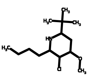 CCCCC1NC(C(C)(C)C)CC(OC)C1Cl